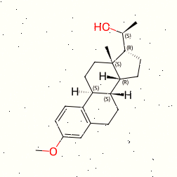 COc1ccc2c(c1)CC[C@@H]1[C@@H]2CC[C@@]2(C)[C@@H]1CC[C@H]2[C@H](C)O